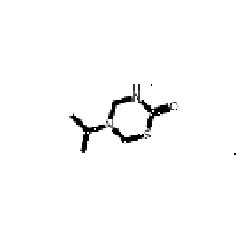 CC(C)N1CNC(=O)SC1